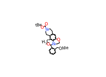 COCc1ccccc1C(=O)N1CCOc2cc3c(c(C)c21)CCN(C(=O)OC(C)(C)C)CC3